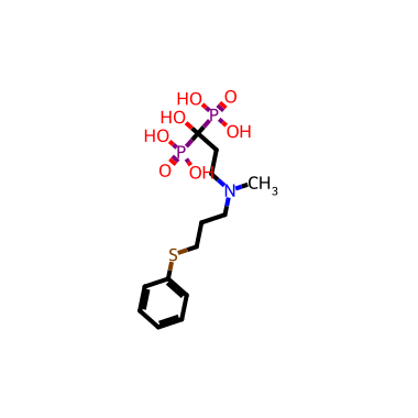 CN(CCCSc1ccccc1)CCC(O)(P(=O)(O)O)P(=O)(O)O